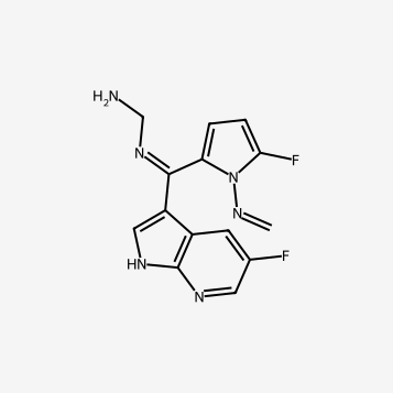 C=Nn1c(F)ccc1/C(=N\CN)c1c[nH]c2ncc(F)cc12